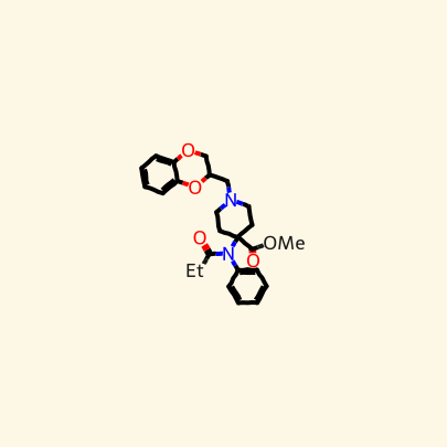 CCC(=O)N(c1ccccc1)C1(C(=O)OC)CCN(CC2COc3ccccc3O2)CC1